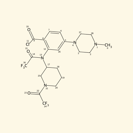 CN1CCN(c2ccc(C(=O)Cl)c(N(C(=O)C(F)(F)F)C3CCCN(C(=O)C(F)(F)F)C3)c2)CC1